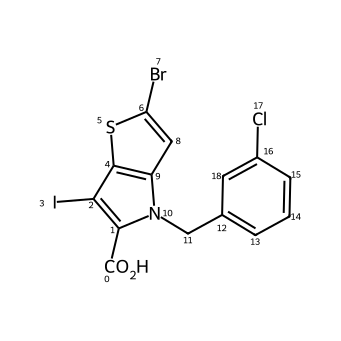 O=C(O)c1c(I)c2sc(Br)cc2n1Cc1cccc(Cl)c1